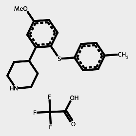 COc1ccc(Sc2ccc(C)cc2)c(C2CCNCC2)c1.O=C(O)C(F)(F)F